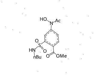 CCCCNS(=O)(=O)c1cc(N(O)C(C)=O)ccc1C(=O)OC